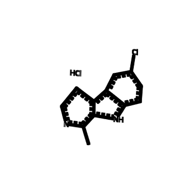 Cc1nccc2c1[nH]c1ccc(Cl)cc12.Cl